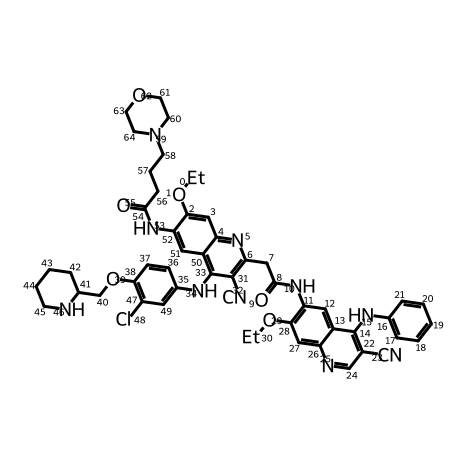 CCOc1cc2nc(CC(=O)Nc3cc4c(Nc5ccccc5)c(C#N)cnc4cc3OCC)c(C#N)c(Nc3ccc(OCC4CCCCN4)c(Cl)c3)c2cc1NC(=O)CCCN1CCOCC1